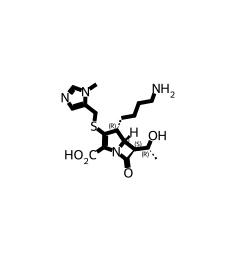 C[C@@H](O)[C@H]1C(=O)N2C(C(=O)O)=C(SCc3cncn3C)[C@H](CCCCN)[C@H]12